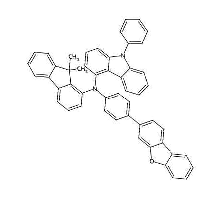 CC1(C)c2ccccc2-c2cccc(N(c3ccc(-c4ccc5c(c4)oc4ccccc45)cc3)c3cccc4c3c3ccccc3n4-c3ccccc3)c21